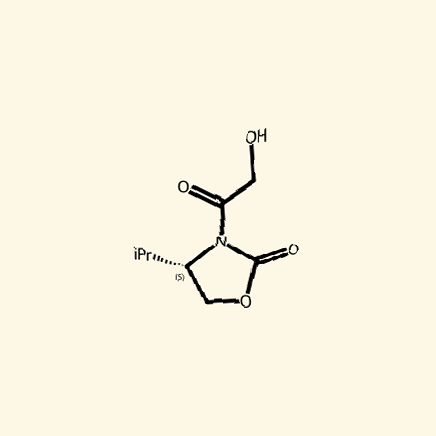 CC(C)[C@H]1COC(=O)N1C(=O)CO